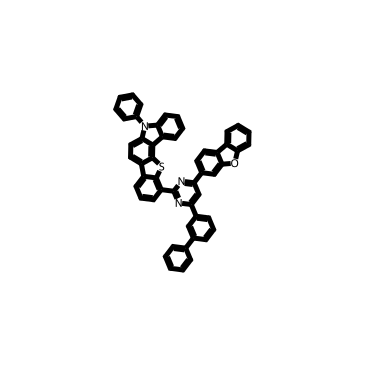 c1ccc(-c2cccc(-c3cc(-c4ccc5c(c4)oc4ccccc45)nc(-c4cccc5c4sc4c5ccc5c4c4ccccc4n5-c4ccccc4)n3)c2)cc1